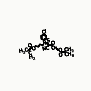 C=C(C)C(=O)OCCCCN1/C(=C(\C#N)C(=O)OCCOC(=O)C(=C)C)Sc2cc(Cl)ccc21